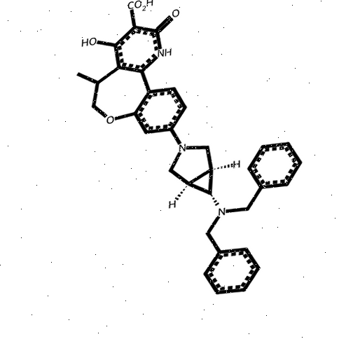 CC1COc2cc(N3C[C@@H]4[C@H](C3)[C@H]4N(Cc3ccccc3)Cc3ccccc3)ccc2-c2[nH]c(=O)c(C(=O)O)c(O)c21